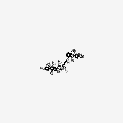 CCc1cc2c(cc1N1CC(C)N(C(=O)CCCCCNc3cccc4c(=C=O)n(C5CCC(=C=O)NC5=C=O)c(=C=O)c34)C(C)C1)C(C)(C)c1[nH]c3cc(C#N)ccc3c1C2=C=O